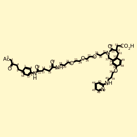 CC(=O)CC(=O)CCc1ccc(NC(=O)CCCC(=O)NCCCOCCOCCOCCCN2Cc3cc(OCCCNc4ccccn4)ccc3CC(CC(=O)O)C2=O)cc1